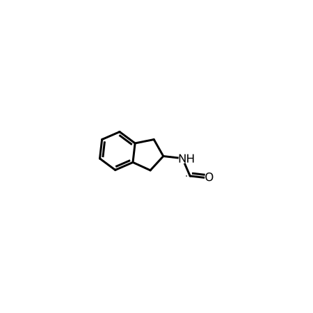 O=[C]NC1Cc2ccccc2C1